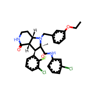 CCOc1cccc(CN2[C@H]3CCNC(=O)[C@H]3[C@H](c3cccc(Cl)c3F)[C@]2(C)C(=O)Nc2cccc(Cl)c2)c1